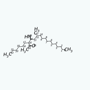 CCCCCCCCCCC[C@@H](C)CC(=N)C(CCCCCC)C(C)=O